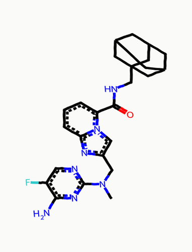 CN(Cc1cn2c(C(=O)NCC34CC5CC(CC(C5)C3)C4)cccc2n1)c1ncc(F)c(N)n1